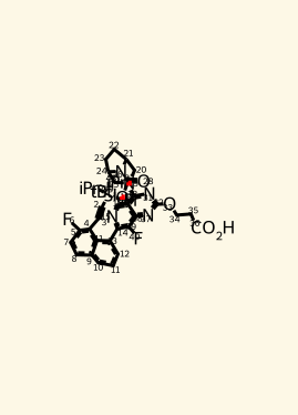 CC(C)[Si](C#Cc1c(F)ccc2cccc(-c3ncc4c(N5CC6CCC(C5)N6C(=O)OC(C)(C)C)nc(OCCC(=O)O)nc4c3F)c12)(C(C)C)C(C)C